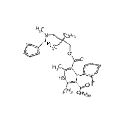 COC(=O)C1=C(C)NC(C)=C(C(=O)OCC(C)(C)CN(C)Cc2ccccc2)C1c1ccccc1F